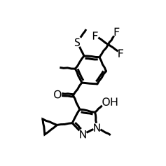 CSc1c(C(F)(F)F)ccc(C(=O)c2c(C3CC3)nn(C)c2O)c1C